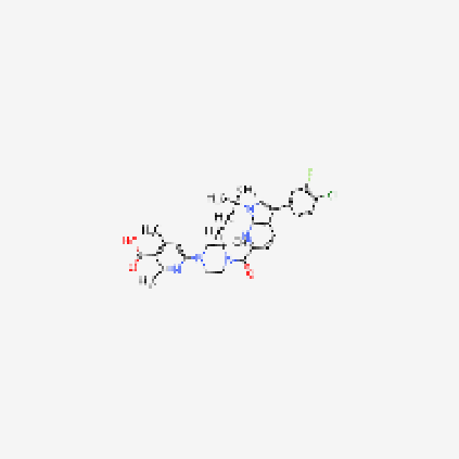 Cc1cc(N2CCN(C(=O)c3ccc4c(-c5ccc(Cl)c(F)c5)cn(C(C)(C)C)c4n3)C(C)(C)C2)nc(C)c1C(=O)O